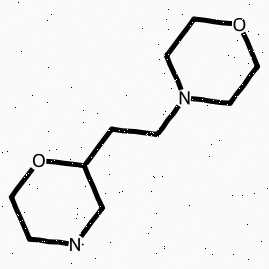 C1COC(CCN2CCOCC2)C[N]1